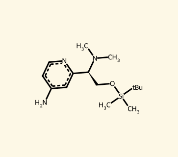 CN(C)[C@@H](CO[Si](C)(C)C(C)(C)C)c1cc(N)ccn1